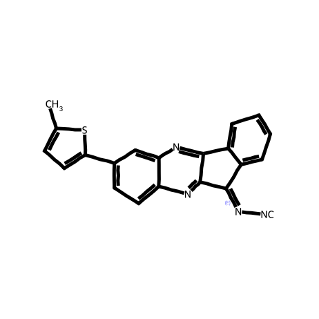 [C-]#[N+]/N=C1\c2ccccc2-c2nc3cc(-c4ccc(C)s4)ccc3nc21